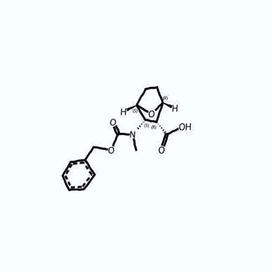 CN(C(=O)OCc1ccccc1)[C@H]1[C@@H](C(=O)O)[C@H]2CC[C@@H]1O2